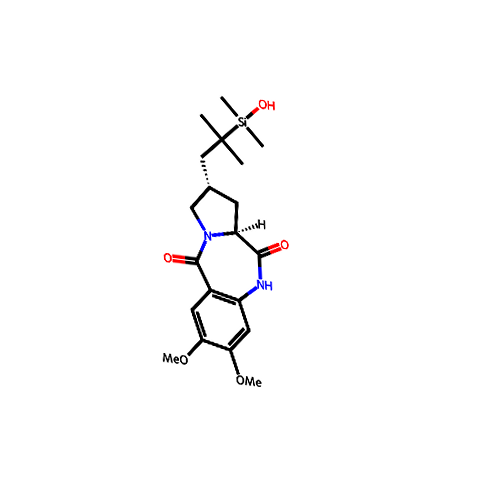 COc1cc2c(cc1OC)C(=O)N1C[C@H](CC(C)(C)[Si](C)(C)O)C[C@H]1C(=O)N2